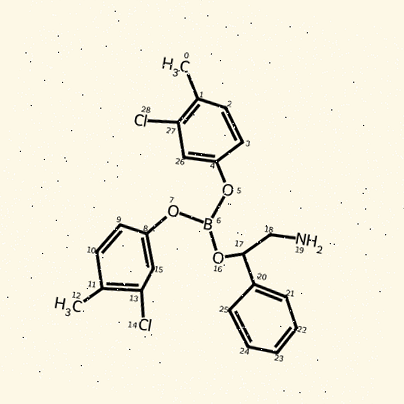 Cc1ccc(OB(Oc2ccc(C)c(Cl)c2)OC(CN)c2ccccc2)cc1Cl